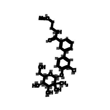 COCCNC(=O)c1cccc(-c2ccc(O[C@H]3O[C@H](CO)[C@@H](O)[C@H](O)[C@@]3(C)O)c(Cl)c2)c1